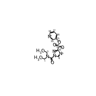 CCN(CC)C(=O)n1cnc(S(=O)(=O)Oc2cccnc2)n1